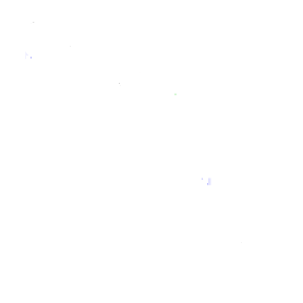 Cl.O=C(CCCCCNCCc1cccc(F)c1)c1cc2c3c(c1)CC(=O)N3CCC2